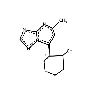 Cc1cc([C@@H]2CNCCC2C)n2ncnc2n1